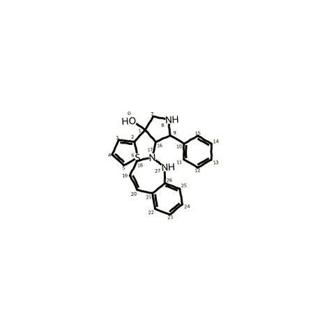 OC1(c2cccs2)CNC(c2ccccc2)C1N1CC=Cc2ccccc2N1